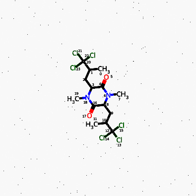 CC(CC1C(=O)N(C)C(CC(C)C(Cl)(Cl)Cl)C(=O)N1C)C(Cl)(Cl)Cl